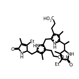 CCC1=C(C)C(C(C)c2[nH]c(Cc3[nH]c(CC4NC(=O)C(C)=C4CC)c(C)c3CCC(=O)O)c(CCC(=O)O)c2C)NC1=O